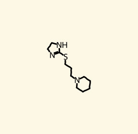 C1CCN(CCCSC2=NCCN2)CC1